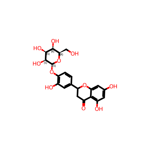 O=C1CC(c2ccc(O[C@@H]3O[C@H](CO)[C@H](O)[C@H](O)[C@@H]3O)c(O)c2)Oc2cc(O)cc(O)c21